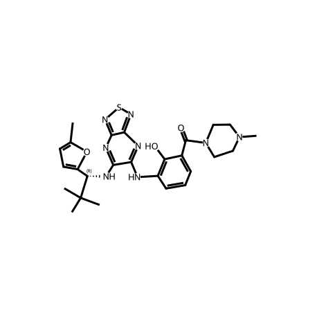 Cc1ccc([C@H](Nc2nc3nsnc3nc2Nc2cccc(C(=O)N3CCN(C)CC3)c2O)C(C)(C)C)o1